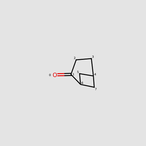 O=C1CCC2CC1C2